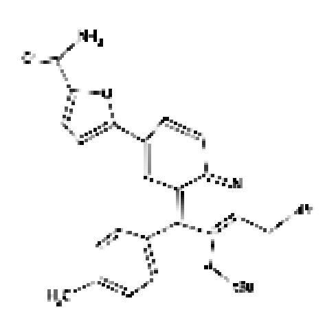 Cc1ccc(-c2c([CH]C(C)(C)C)c(CC(C)C)nc3ccc(-c4ccc(C(N)=O)o4)cc23)cc1